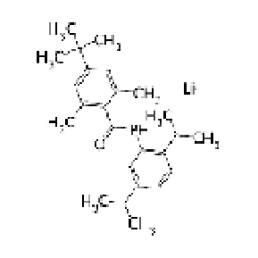 Cc1cc(C(C)(C)C)cc(C)c1C(=O)Pc1cc(C(C)C)ccc1C(C)C.[Li]